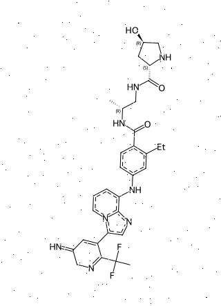 CCc1cc(Nc2cccn3c(C4=CC(=N)CN=C4C(C)(F)F)cnc23)ccc1C(=O)N[C@H](C)CNC(=O)[C@@H]1C[C@@H](O)CN1